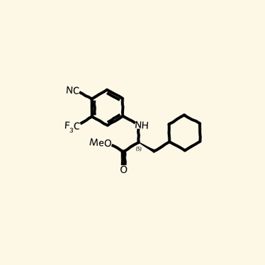 COC(=O)[C@H](CC1CCCCC1)Nc1ccc(C#N)c(C(F)(F)F)c1